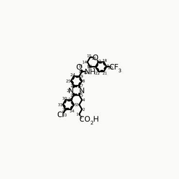 O=C(O)CCCCc1nc2cc(C(=O)N[C@@H]3CCOc4cc(C(F)(F)F)ccc43)ccc2nc1-c1ccc(Cl)cc1